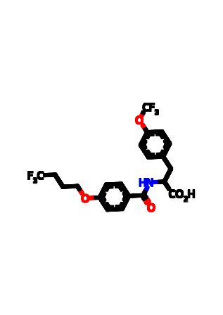 O=C(NC(Cc1ccc(OC(F)(F)F)cc1)C(=O)O)c1ccc(OCCCC(F)(F)F)cc1